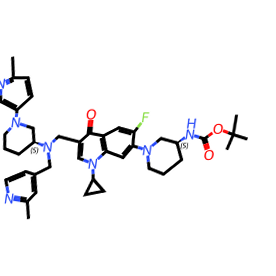 Cc1ccc(N2CCC[C@H](N(Cc3ccnc(C)c3)Cc3cn(C4CC4)c4cc(N5CCC[C@H](NC(=O)OC(C)(C)C)C5)c(F)cc4c3=O)C2)cn1